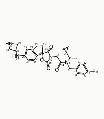 C[C@@H](C1CC1)N(Cc1ccc(F)cc1)C(=O)CN1C(=O)OC2(CCc3cc(NC4CNC4)ccc32)C1=O